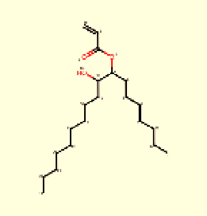 C=CC(=O)OC(CCCCCCC)C(O)CCCCCCCCC